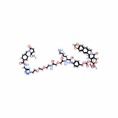 C=C1CCC(=O)N1CC1CCC(C(=O)NCc2cn(CCOCCOCCNC(=O)COCC(=O)N[C@@H](CCCCN)C(=O)Nc3ccc(COC(=O)O[C@]4(CC)C(=O)OCc5c4cc4n(c5=O)Cc5cc6cc7c(cc6cc5-4)OCO7)cc3)nn2)CC1